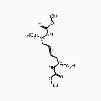 CC(C)(C)OC(=O)N[C@@H](C/C=C/C[C@H](NC(=O)OC(C)(C)C)C(=O)O)C(=O)O